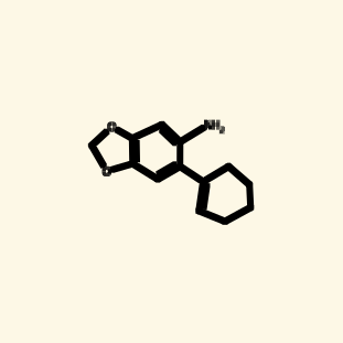 Nc1cc2c(cc1C1=CCCCC1)OCO2